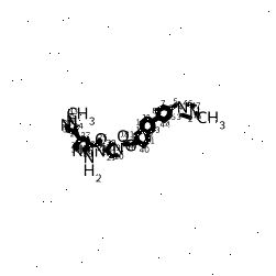 CN1CCN(Cc2ccc(-c3ccc4cc(OC(=O)N5CC[C@@H](NC(=O)c6cc(-c7cnn(C)c7)cnc6N)C5)ccc4c3)cc2)CC1